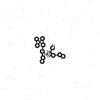 c1ccc2c(c1)-c1ccccc1C21c2ccccc2-c2ccc(-c3ccc4c5cc6ccccc6cc5n(-c5nc(-c6ccncc6)c6cc(-c7ccc8ccccc8c7)ccc6n5)c4c3)cc21